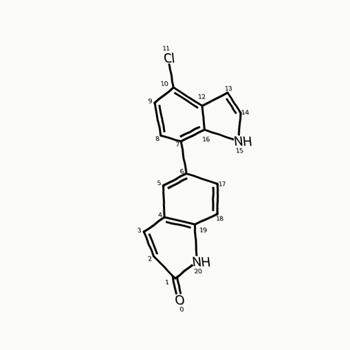 O=c1ccc2cc(-c3ccc(Cl)c4cc[nH]c34)ccc2[nH]1